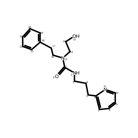 O=C(NCCCc1ccccn1)N(CCO)CCc1ccccc1